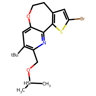 C[SiH](C)OCc1nc2c(cc1C(C)(C)C)OCCc1cc(Br)sc1-2